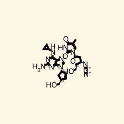 Cc1cn([C@H]2C[C@H](N=[N+]=[N-])[C@@H](CO)O2)c(=O)[nH]c1=O.Nc1nc(NC2CC2)c2ncn([C@H]3C=C[C@@H](CO)C3)c2n1